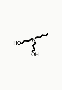 CCCCCN(CCCCO)CCCCO